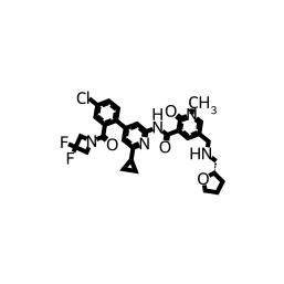 Cn1cc(CNC[C@@H]2CCCO2)cc(C(=O)Nc2cc(-c3ccc(Cl)cc3C(=O)N3CC(F)(F)C3)cc(C3CC3)n2)c1=O